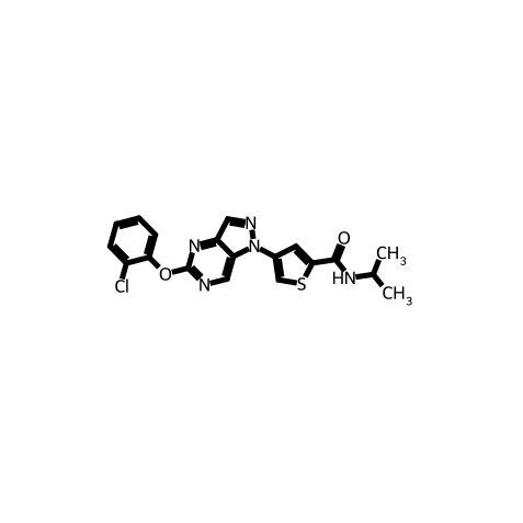 CC(C)NC(=O)c1cc(-n2ncc3nc(Oc4ccccc4Cl)ncc32)cs1